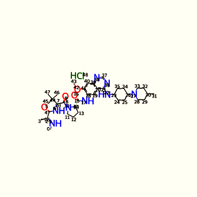 CN[C@@H](C)C(=O)N[C@H](C(=O)N1CCC[C@H]1C(=O)Nc1cc2c(NC3CCC(N4CCC(C)CC4)CC3)ncnc2cc1OC)C(C)(C)C.Cl